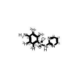 [2H]c1c([2H])c(S(=O)(=O)Nc2ncccn2)c([2H])c([2H])c1N